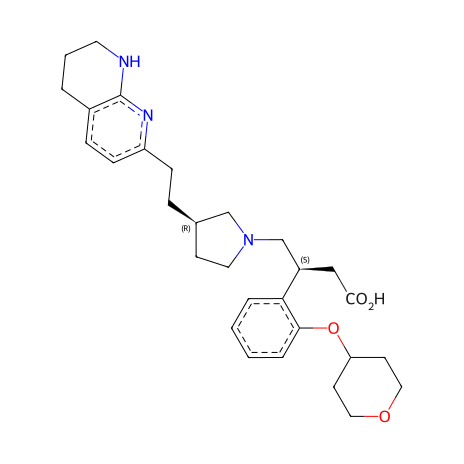 O=C(O)C[C@H](CN1CC[C@@H](CCc2ccc3c(n2)NCCC3)C1)c1ccccc1OC1CCOCC1